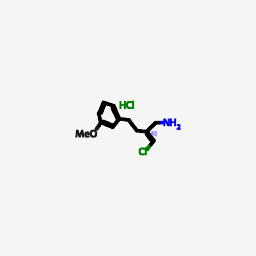 COc1cccc(CC/C(=C\Cl)CN)c1.Cl